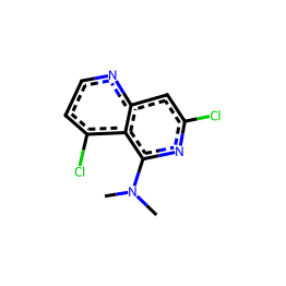 CN(C)c1nc(Cl)cc2nccc(Cl)c12